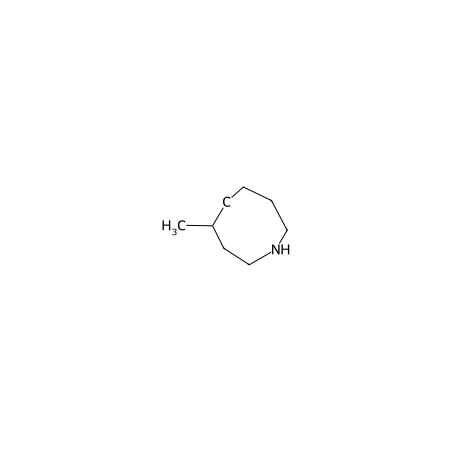 CC1CCCCNCC1